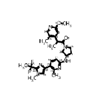 COc1cc(C(C)C(=O)N2CC[C@H](Nc3ccc(-c4cn(C)c(C(C)(F)F)n4)c(C)n3)C2)c(C)cn1